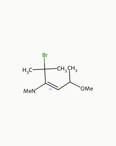 CN/C(=C/C(C)OC)C(C)(C)Br